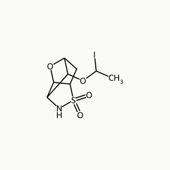 CC(I)OC1C2CC3C(O2)C1NS3(=O)=O